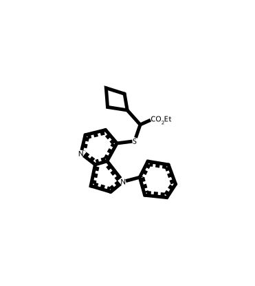 CCOC(=O)C(Sc1ccnc2ccn(-c3ccccc3)c12)C1CCC1